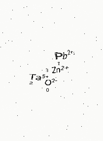 [O-2].[Pb+2].[Ta+5].[Zn+2]